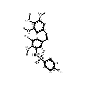 COc1cc(/C=C\c2cc(F)c(OC)c(NS(=O)(=O)c3ccc(F)cc3)c2)cc(OC)c1OC